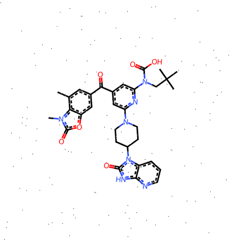 Cc1cc(C(=O)c2cc(N3CCC(n4c(=O)[nH]c5ncccc54)CC3)nc(N(CC(C)(C)C)C(=O)O)c2)cc2oc(=O)n(C)c12